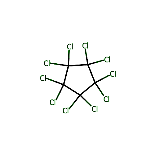 ClC1(Cl)C(Cl)(Cl)C(Cl)(Cl)C(Cl)(Cl)C1(Cl)Cl